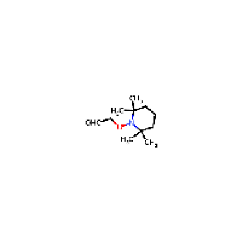 CC1(C)CCCC(C)(C)N1OCC=O